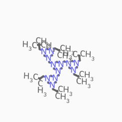 CC(C)CN1CN(CC(C)C)CN(CN2CN(CN3CN(CC(C)C)CN(CC(C)C)C3)CN(CN3CN(CC(C)C)CN(CC(C)(C)C)C3)C2)C1